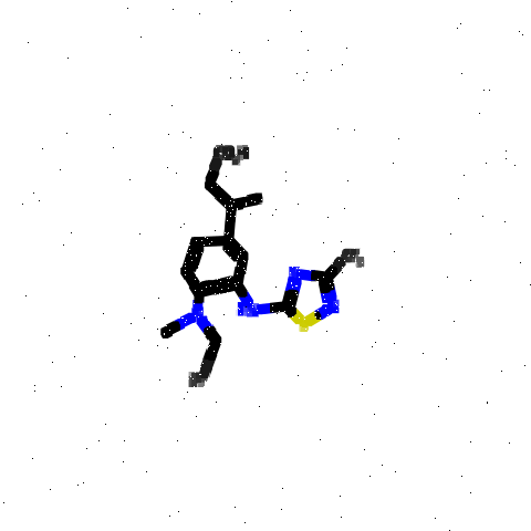 CC(C)CN(C)c1ccc(C(C)CC(=O)O)cc1Nc1nc(C(F)(F)F)ns1